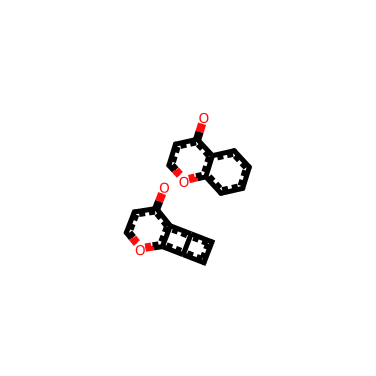 O=c1ccoc2c3ccc-3c12.O=c1ccoc2ccccc12